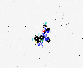 N#Cc1c(N)sc2c(F)ccc(-c3c(Cl)cc4c(N5CC6CCC(C5)N6)nc(C(=O)NC5(CN6CC[C@@H](F)C6)CCC5)nc4c3F)c12